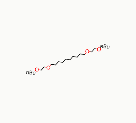 CCCCOCCOCCCCCCCCCCOCCOCCCC